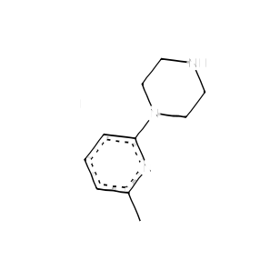 Cc1cccc(N2CCNCC2)n1.Cl